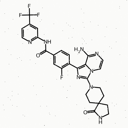 Nc1nccn2c(N3CCC4(CCNC4=O)CC3)nc(-c3ccc(C(=O)Nc4cc(C(F)(F)F)ccn4)cc3F)c12